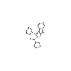 O=C(c1ccccc1)c1sc2nc3ccccc3n2c1-c1ccccc1